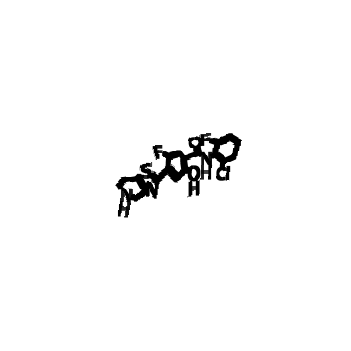 O=C(NC1=C(Cl)CCC=C1F)c1cc(F)c(-c2nc3c(s2)CCNC3)cc1O